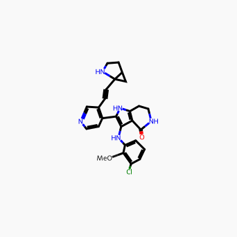 COc1c(Cl)cccc1Nc1c(-c2ccncc2C#CC23CC2CCN3)[nH]c2c1C(=O)NCC2